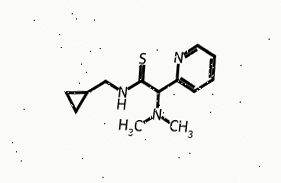 CN(C)C(C(=S)NCC1CC1)c1ccccn1